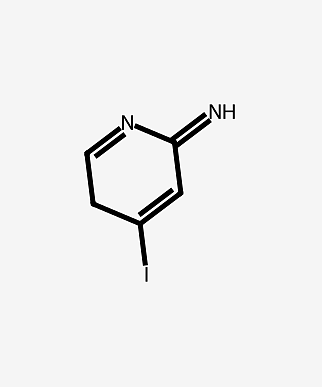 N=C1C=C(I)CC=N1